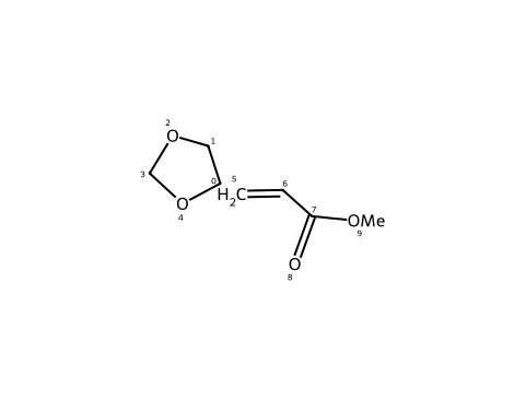 C1COCO1.C=CC(=O)OC